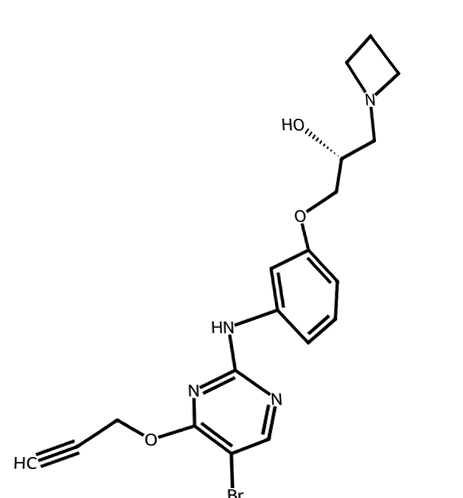 C#CCOc1nc(Nc2cccc(OC[C@H](O)CN3CCC3)c2)ncc1Br